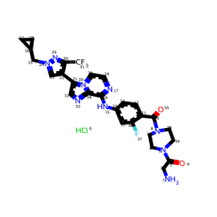 Cl.NCC(=O)N1CCN(C(=O)c2ccc(Nc3nccn4c(-c5cn(CC6CC6)nc5C(F)(F)F)cnc34)cc2F)CC1